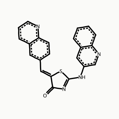 O=C1N=C(Nc2cnc3ccccc3c2)SC1=Cc1ccc2ncccc2c1